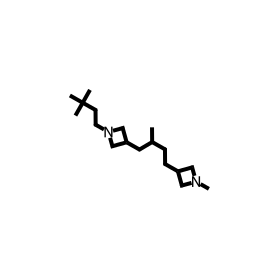 CC(CCC1CN(C)C1)CC1CN(CCC(C)(C)C)C1